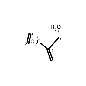 C=C.C=C(C)C(=O)O.O